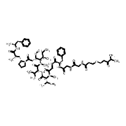 CC[C@@H](C)[C@H]([C@H](CC(=O)N1CCC[C@@H]1C[C@H](C)C(=O)N[C@@H](C)Cc1ccccc1)OC)N(C)C(=O)[C@H](NC(=O)[C@@H](C(C)C)N(C)C(=O)CNC(=O)[C@@H](Cc1ccccc1)NC(=O)CNC(=O)CNC(=O)CCOCCC(=O)C(C)C)C(C)C